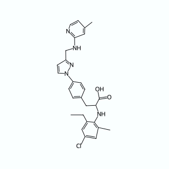 CCc1cc(Cl)cc(C)c1NC(Cc1ccc(-n2ccc(CNc3cc(C)ccn3)n2)cc1)C(=O)O